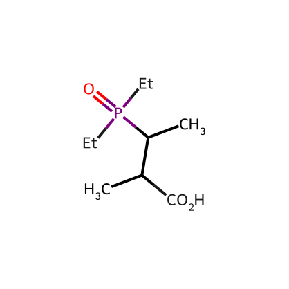 CCP(=O)(CC)C(C)C(C)C(=O)O